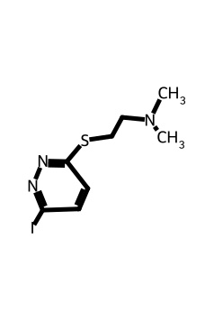 CN(C)CCSc1ccc(I)nn1